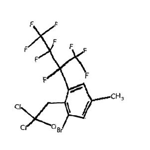 Cc1[c]c(Br)c(CC(Cl)(Cl)Cl)c(C(F)(C(F)(F)F)C(F)(F)C(F)(F)F)c1